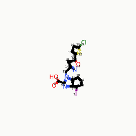 O=C(O)c1nc2c(I)cccc2n1Cc1cc(-c2ccc(Cl)s2)on1